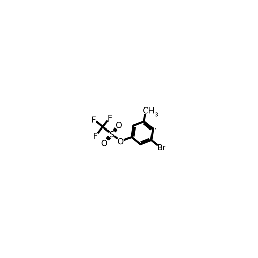 Cc1[c]c(Br)cc(OS(=O)(=O)C(F)(F)F)c1